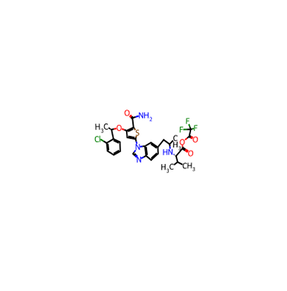 CC(Cc1ccc2ncn(-c3cc(O[C@H](C)c4ccccc4Cl)c(C(N)=O)s3)c2c1)N[C@H](C(=O)OC(=O)C(F)(F)F)C(C)C